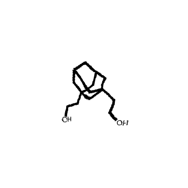 OCCC12CC3CC(C1)CC(CCO)(C3)C2